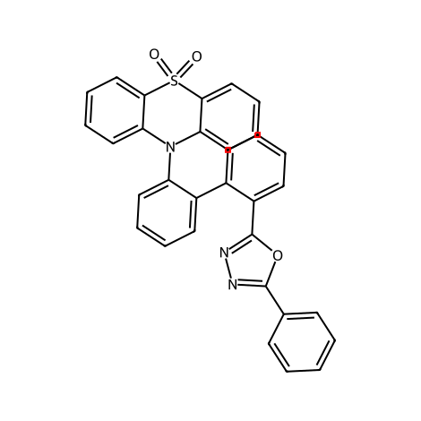 O=S1(=O)c2ccccc2N(c2ccccc2-c2ccccc2-c2nnc(-c3ccccc3)o2)c2ccccc21